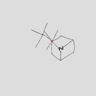 CC(C)(C)C1CC2CC(C1)N2C(C)(C)C